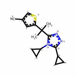 CC(C)(c1cc(C#N)cs1)c1nnc(C2CC2)n1C1CC1